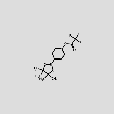 CC1(C)OB(C2=CCN(OC(=O)C(F)(F)F)CC2)OC1(C)C